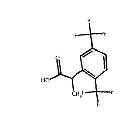 CC(C(=O)O)c1cc(C(F)(F)F)ccc1C(F)(F)F